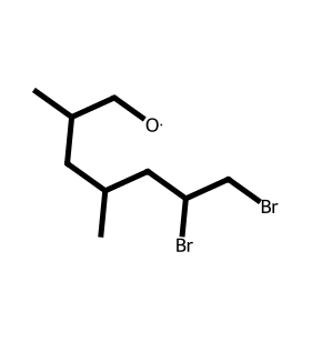 CC(C[O])CC(C)CC(Br)CBr